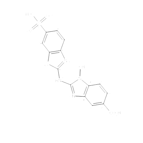 Cn1c(Nc2nc3ccc(S(C)(=O)=O)cc3s2)nc2cc(C(=O)O)ccc21